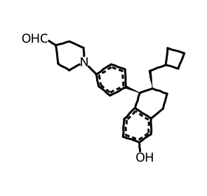 O=CC1CCN(c2ccc([C@@H]3c4ccc(O)cc4CC[C@@H]3CC3CCC3)cc2)CC1